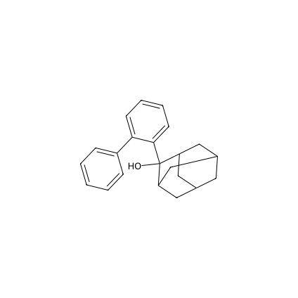 OC1(c2ccccc2-c2ccccc2)C2CC3CC(C2)CC1C3